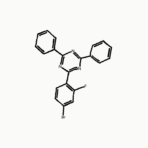 Fc1cc(Br)ccc1-c1nc(-c2ccccc2)nc(-c2ccccc2)n1